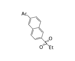 CCS(=O)(=O)c1ccc2cc(C(C)=O)ccc2c1